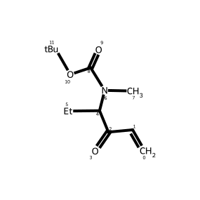 C=CC(=O)C(CC)N(C)C(=O)OC(C)(C)C